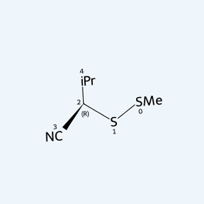 CSS[C@@H](C#N)C(C)C